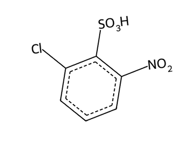 O=[N+]([O-])c1cccc(Cl)c1S(=O)(=O)O